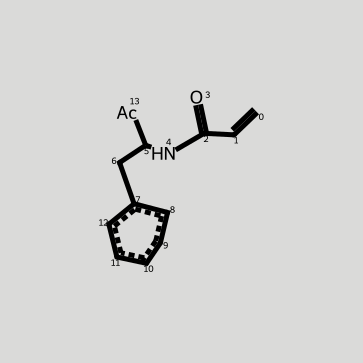 C=CC(=O)NC(Cc1ccccc1)C(C)=O